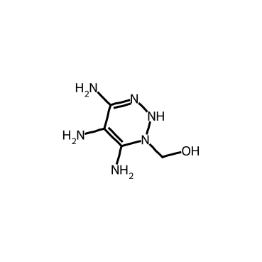 NC1=NNN(CO)C(N)=C1N